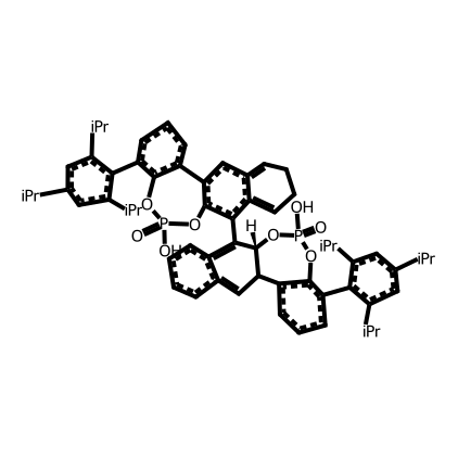 CC(C)c1cc(C(C)C)c(-c2cccc3c2OP(=O)(O)Oc2c-3cc3c(c2C2=c4ccccc4=CC4c5cccc(-c6c(C(C)C)cc(C(C)C)cc6C(C)C)c5OP(=O)(O)O[C@@H]24)=CCCC=3)c(C(C)C)c1